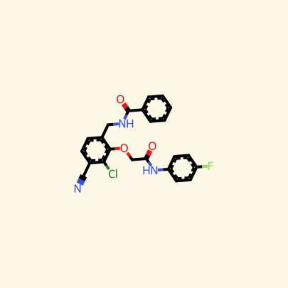 N#Cc1ccc(CNC(=O)c2ccccc2)c(OCC(=O)Nc2ccc(F)cc2)c1Cl